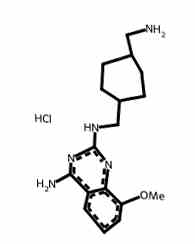 COc1cccc2c(N)nc(NCC3CCC(CN)CC3)nc12.Cl